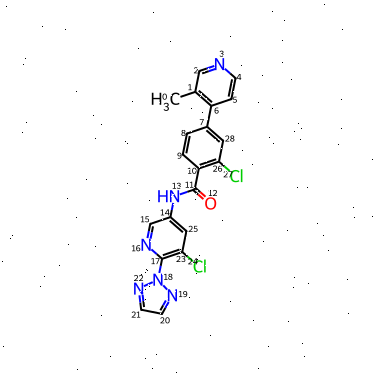 Cc1cnccc1-c1ccc(C(=O)Nc2cnc(-n3nccn3)c(Cl)c2)c(Cl)c1